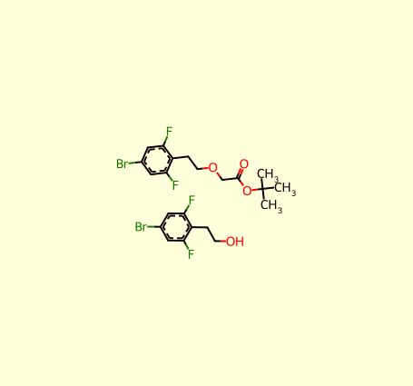 CC(C)(C)OC(=O)COCCc1c(F)cc(Br)cc1F.OCCc1c(F)cc(Br)cc1F